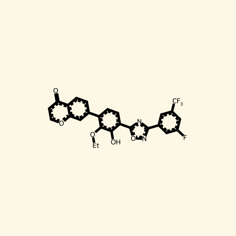 CCOc1c(-c2ccc3c(=O)ccoc3c2)ccc(-c2nc(-c3cc(F)cc(C(F)(F)F)c3)no2)c1O